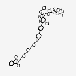 C[Si](C)(C)CCOCn1c(OC2CCC2)nc2nc(-c3ccc(C4CCN(CCOCCOCCOCCN5C(=O)c6ccccc6C5=O)CC4)cc3)c(Cl)cc21